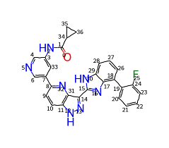 O=C(Nc1cncc(-c2ccc3[nH]nc(-c4nc5c(-c6ccccc6F)cccc5[nH]4)c3n2)c1)C1CC1